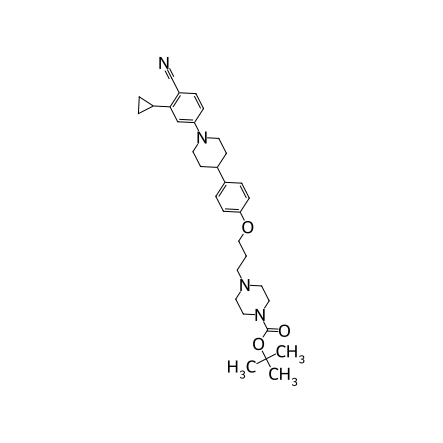 CC(C)(C)OC(=O)N1CCN(CCCOc2ccc(C3CCN(c4ccc(C#N)c(C5CC5)c4)CC3)cc2)CC1